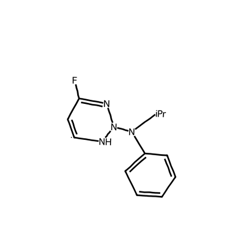 CC(C)N(c1ccccc1)N1N=C(F)C=[C]N1